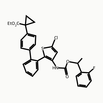 CCOC(=O)C1(c2ccc(-c3ccccc3-c3sc(Cl)cc3NC(=O)OC(C)c3ccccc3F)cc2)CC1